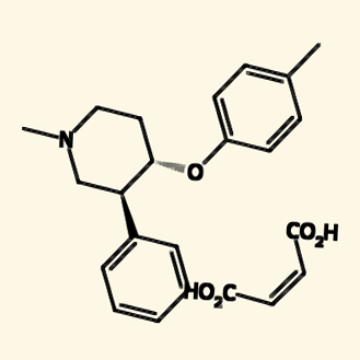 Cc1ccc(O[C@H]2CCN(C)C[C@@H]2c2ccccc2)cc1.O=C(O)/C=C\C(=O)O